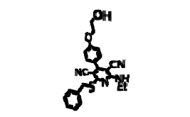 CCNc1nc(SCc2ccccc2)c(C#N)c(-c2ccc(OCCO)cc2)c1C#N